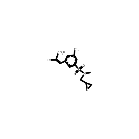 CCC(=Cc1cc(C(F)(F)F)cc(S(=O)(=O)N(C)CC2CO2)c1)C(=O)O